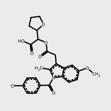 COc1ccc2c(c1)c(CC(=O)OC(C(=O)O)C1CCCO1)c(C)n2C(=O)c1ccc(Cl)cc1